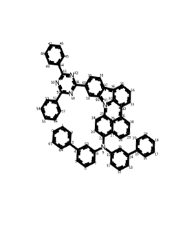 c1ccc(-c2cccc(N(c3cccc(-c4ccccc4)c3)c3ccc4c5c3cccc5c3cccc5c6ccc(-c7nc(-c8ccccc8)nc(-c8ccccc8)n7)cc6n4c35)c2)cc1